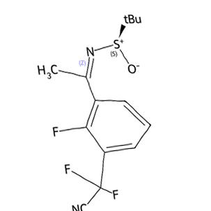 C/C(=N/[S@+]([O-])C(C)(C)C)c1cccc(C(F)(F)C#N)c1F